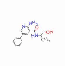 C=C(CO)NC(=O)c1cc(-c2ccccc2)cnc1N